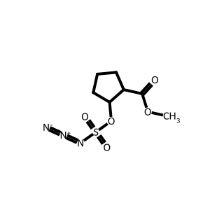 COC(=O)C1CCCC1OS(=O)(=O)N=[N+]=[N-]